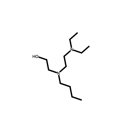 CCCCN(CCO)CCN(CC)CC